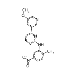 COc1cncc(-c2ccnc(Nc3cc([N+](=O)[O-])ccc3C)n2)c1